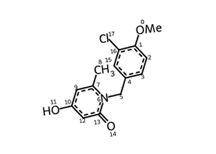 COc1ccc(Cn2c(C)cc(O)cc2=O)cc1Cl